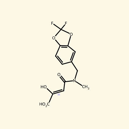 CN(Cc1ccc2c(c1)OC(F)(F)O2)C(=O)/C=C(\O)C(=O)O